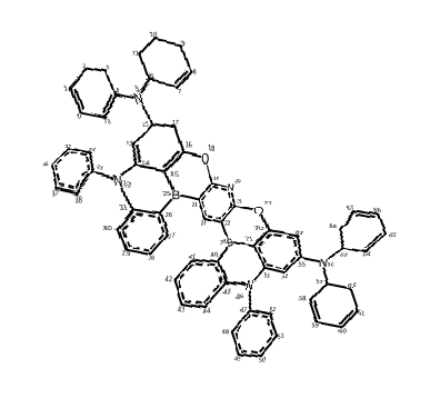 C1=CCCC(N(C2C=CCCC2)C2C=C3C4=C(C2)Oc2nc5c(cc2B4c2ccccc2N3c2ccccc2)B2c3ccccc3N(c3ccccc3)c3cc(N(C4C=CC=CC4)C4C=CC=CC4)cc(c32)O5)=C1